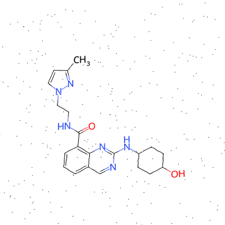 Cc1ccn(CCNC(=O)c2cccc3cnc(NC4CCC(O)CC4)nc23)n1